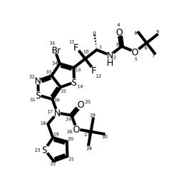 C[C@H](NC(=O)OC(C)(C)C)C(F)(F)c1sc2c(N(Cc3cccs3)C(=O)OC(C)(C)C)snc2c1Br